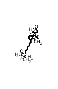 Cn1c(=O)n(C2CCC(=O)NC2=O)c2cccc(CCCCCCCN(C(=O)O)C(C)(C)C)c21